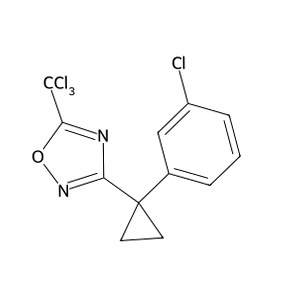 Clc1cccc(C2(c3noc(C(Cl)(Cl)Cl)n3)CC2)c1